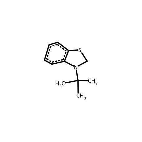 CC(C)(C)N1CSc2ccccc21